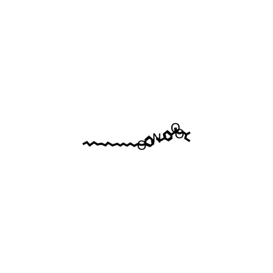 CCCCCCCCCCCCCCCCOc1ccc(N=Cc2ccc(C(=O)OCC(C)CC)cc2)cc1